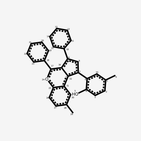 Cc1ccc(O)c(-c2cc(-c3ccccc3)c3c(-c4ccccc4)oc4ccc(C)cc4c2-3)c1